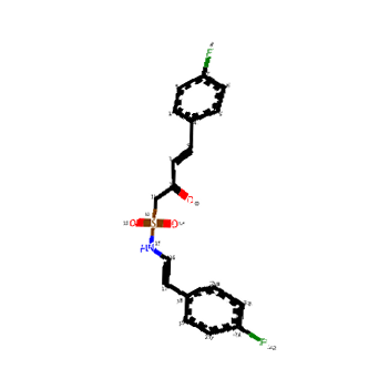 O=C(C=Cc1ccc(F)cc1)CS(=O)(=O)N/C=C/c1ccc(F)cc1